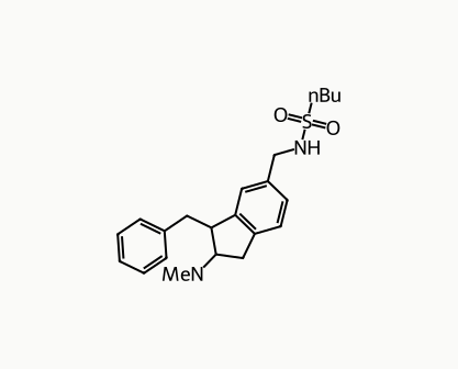 CCCCS(=O)(=O)NCc1ccc2c(c1)C(Cc1ccccc1)C(NC)C2